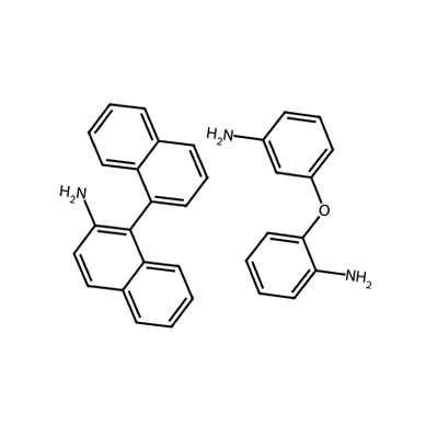 Nc1ccc2ccccc2c1-c1cccc2ccccc12.Nc1cccc(Oc2ccccc2N)c1